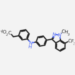 Cn1nc(-c2ccc(Nc3cccc(CC(=O)O)c3)cc2)c2cccc(C(F)(F)F)c21